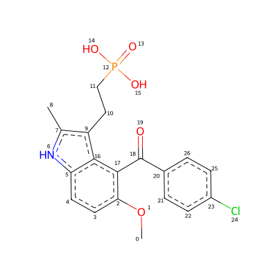 COc1ccc2[nH]c(C)c(CCP(=O)(O)O)c2c1C(=O)c1ccc(Cl)cc1